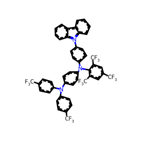 FC(F)(F)c1ccc(N(c2ccc(N(c3ccc(-n4c5ccccc5c5ccccc54)cc3)c3c(C(F)(F)F)cc(C(F)(F)F)cc3C(F)(F)F)cc2)c2ccc(C(F)(F)F)cc2)cc1